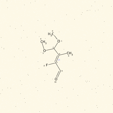 COC(OC)/C(C)=C(\F)C=O